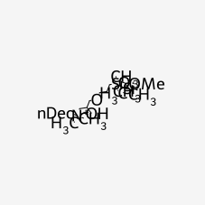 CCCCCCCCCC[N+](C)(C)CC(O)COCCC[Si](C)(C)O[Si](C)(C)OC